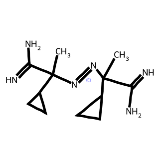 CC(/N=N/C(C)(C(=N)N)C1CC1)(C(=N)N)C1CC1